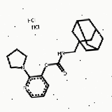 Cl.Cl.O=C(NCC12CC3CC(CC(C3)C1)C2)Oc1cccnc1N1CCCC1